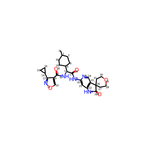 CC1CCC([C@H](NC(=O)c2conc2C2CC2)C(=O)Nc2cc3c(cn2)C2(CCOCC2)C(=O)N3)CC1